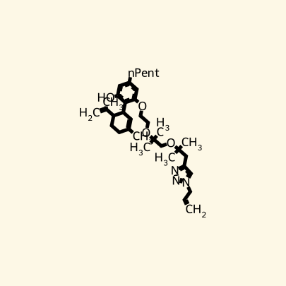 C=CCn1cc(CC(C)(C)OCC(C)(C)OCCOc2cc(CCCCC)cc(O)c2C2C=C(C)CCC2C(=C)C)nn1